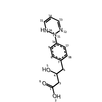 O=C(O)CC(O)Cc1ccc(N2N=CC=CN2)cc1